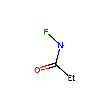 CCC(=O)[N]F